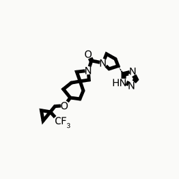 O=C(N1CC[C@H](c2ncn[nH]2)C1)N1CC2(CCC(OCC3(C(F)(F)F)CC3)CC2)C1